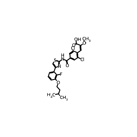 CO/C(=C/c1c(Cl)cc(C(=O)Nc2nc(-c3cccc(OCCC(C)C)c3F)cs2)cc1Cl)C(=O)O